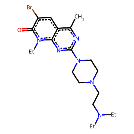 CCN(CC)CCN1CCN(c2nc(C)c3cc(Br)c(=O)n(CC)c3n2)CC1